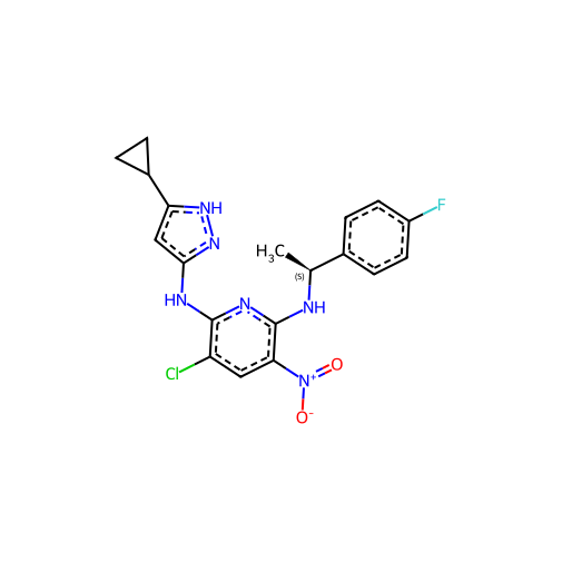 C[C@H](Nc1nc(Nc2cc(C3CC3)[nH]n2)c(Cl)cc1[N+](=O)[O-])c1ccc(F)cc1